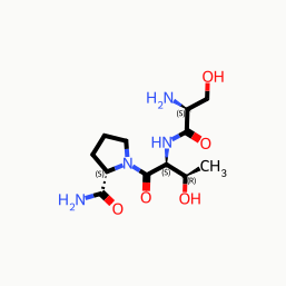 C[C@@H](O)[C@H](NC(=O)[C@@H](N)CO)C(=O)N1CCC[C@H]1C(N)=O